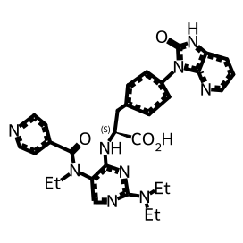 CCN(CC)c1ncc(N(CC)C(=O)c2ccncc2)c(N[C@@H](Cc2ccc(-n3c(=O)[nH]c4cccnc43)cc2)C(=O)O)n1